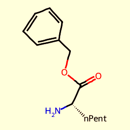 CCCCC[C@H](N)C(=O)OCc1ccccc1